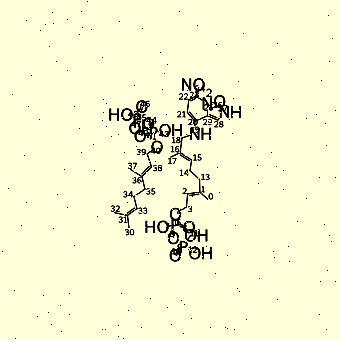 CC(=CCOP(=O)(O)OP(=O)(O)O)CCC=C(C)CNC1=CC=C([N+](=O)[O-])N2ONC=C12.CC(C)=CCC/C(C)=C/COP(=O)(O)OP(=O)(O)O